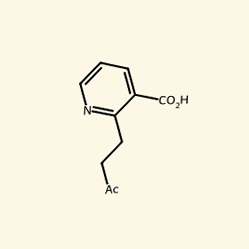 CC(=O)CCc1ncccc1C(=O)O